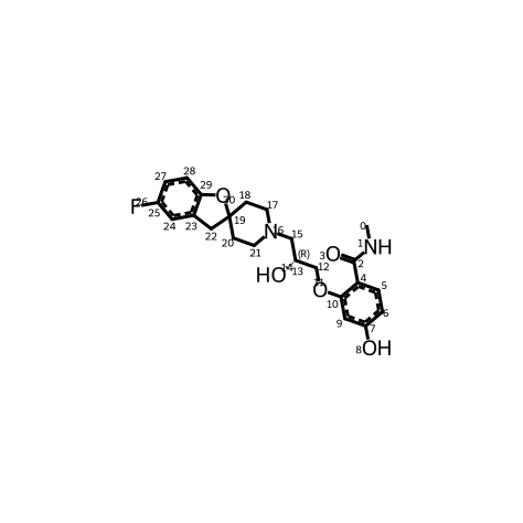 CNC(=O)c1ccc(O)cc1OC[C@H](O)CN1CCC2(CC1)Cc1cc(F)ccc1O2